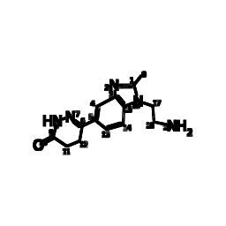 Cc1nc2cc(C3=NNC(=O)CC3)ccc2n1CCN